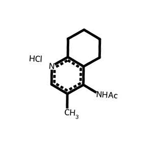 CC(=O)Nc1c(C)cnc2c1CCCC2.Cl